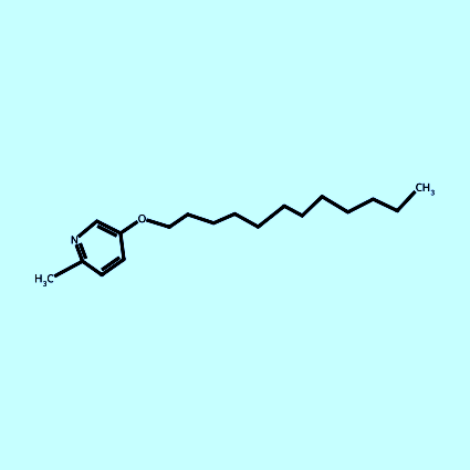 CCCCCCCCCCCCOc1ccc(C)nc1